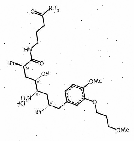 COCCCOc1cc(C[C@@H](C[C@H](N)[C@@H](O)C[C@H](C(=O)NCCCC(N)=O)C(C)C)C(C)C)ccc1OC.Cl